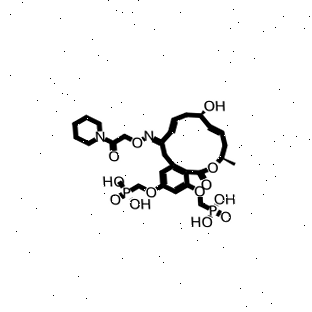 C[C@@H]1C/C=C/[C@H](O)C/C=C/C(=N/OCC(=O)N2CCCCC2)Cc2cc(OCP(=O)(O)O)cc(OCP(=O)(O)O)c2C(=O)O1